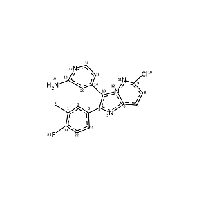 Cc1cc(-c2nc3ccc(Cl)nn3c2-c2ccnc(N)c2)ccc1F